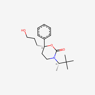 C[C@H](N1CC[C@@](CCCO)(c2ccccc2)OC1=O)C(C)(C)C